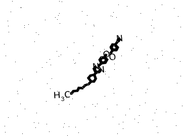 CCCCCCCCC1CCC(c2cnc(-c3ccc(OC(=O)c4ccc(C#N)cc4)cc3)nc2)CC1